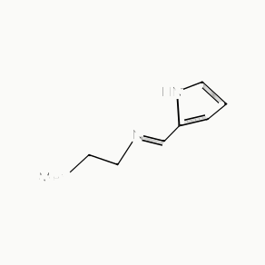 CSCC/N=C/c1ccc[nH]1